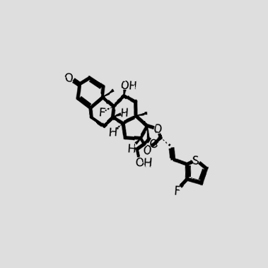 C[C@]12C=CC(=O)C=C1CC[C@H]1[C@@H]3C[C@H]4O[C@@H](/C=C/c5sccc5F)O[C@@]4(C(=O)CO)[C@@]3(C)C[C@H](O)[C@@]12F